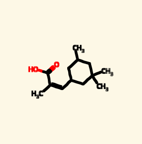 CC(=CC1CC(C)CC(C)(C)C1)C(=O)O